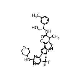 Cc1cccc([C@@H](CO)NC(=O)[C@@H](C)n2cnn3cc(-c4nc(NC5CCOCC5)ncc4C(F)(F)F)cc3c2=O)c1